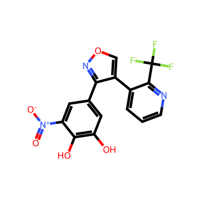 O=[N+]([O-])c1cc(-c2nocc2-c2cccnc2C(F)(F)F)cc(O)c1O